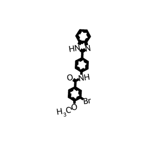 COc1ccc(C(=O)Nc2ccc(-c3nc4ccccc4[nH]3)cc2)cc1Br